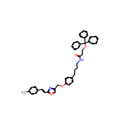 O=C(CCOC(c1ccccc1)(c1ccccc1)c1ccccc1)NCCCCc1ccc(OCc2coc(C=Cc3ccc(C(F)(F)F)cc3)n2)cc1